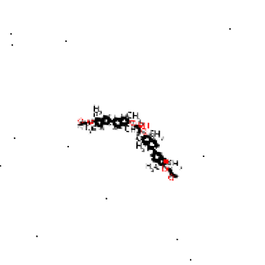 Cc1cc2cc(-c3ccc4c(C)c(OCC5CO5)c(C)cc4c3)ccc2c(C)c1OCC(O)COc1c(C)cc2cc(-c3ccc4c(C)c(OCC5CO5)c(C)cc4c3)ccc2c1C